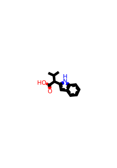 CC(C)C(C(=O)O)c1cc2ccccc2[nH]1